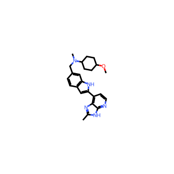 COC1CCC(N(C)Cc2ccc3cc(-c4ccnc5[nH]c(C)nc45)[nH]c3c2)CC1